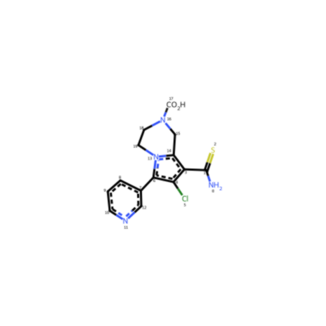 NC(=S)c1c(Cl)c(-c2cccnc2)n2c1CN(C(=O)O)CC2